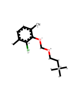 Cc1ccc(C#N)c(OCOCC[Si](C)(C)C)c1Br